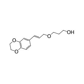 OCCCOC/C=C/c1ccc2c(c1)OCCO2